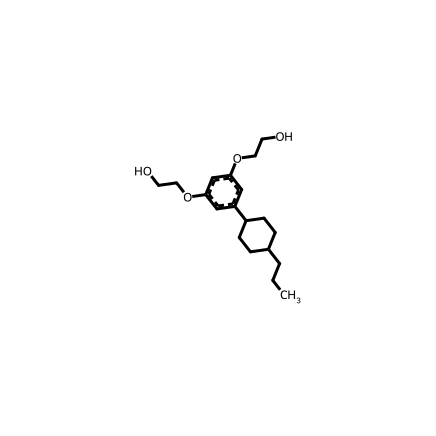 CCCC1CCC(c2cc(OCCO)cc(OCCO)c2)CC1